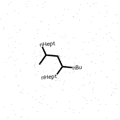 CCCCCCCC(C)[CH]C(CCCC)CCCCCCC